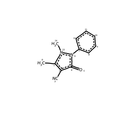 Cc1c(C#N)c(=O)n(-c2ccccc2)n1C